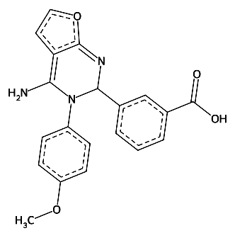 COc1ccc(N2C(N)=c3ccoc3=NC2c2cccc(C(=O)O)c2)cc1